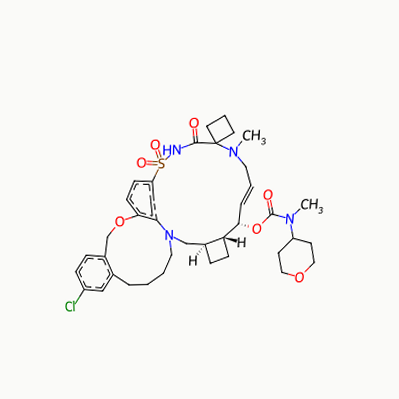 CN(C(=O)O[C@H]1/C=C/CN(C)C2(CCC2)C(=O)NS(=O)(=O)c2ccc3c(c2)N(CCCCc2cc(Cl)ccc2CO3)C[C@@H]2CC[C@H]21)C1CCOCC1